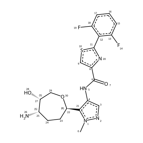 Cn1ncc(NC(=O)c2csc(-c3c(F)cccc3F)n2)c1[C@H]1CC[C@H](N)[C@H](O)CO1